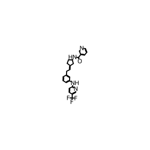 O=C(NC1CC/C(=C\Cc2cccc(Nc3ccc(C(F)(F)F)cn3)c2)C1)c1cccnc1